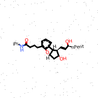 CCCCC[C@H](O)/C=C/[C@@H]1[C@H]2c3cccc(CCCC(=O)NC(C)C)c3O[C@H]2C[C@H]1O